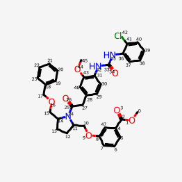 COC(=O)c1cccc(OCC2CCC(COCc3ccccc3)N2C(=O)Cc2ccc(NC(=O)Nc3ccccc3Cl)c(OC)c2)c1